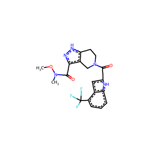 CON(C)C(=O)c1n[nH]c2c1CN(C(=O)c1cc3c(C(F)(F)F)cccc3[nH]1)CC2